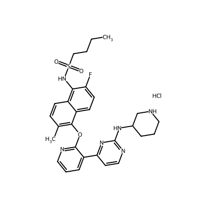 CCCCS(=O)(=O)Nc1c(F)ccc2c(Oc3ncccc3-c3ccnc(NC4CCCNC4)n3)c(C)ccc12.Cl